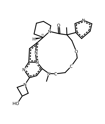 CN1CCCCOCC(C)(c2cccnc2)C(=O)N2CCCC[C@H]2c2cc3nc(N4CC(O)C4)cc1n3n2